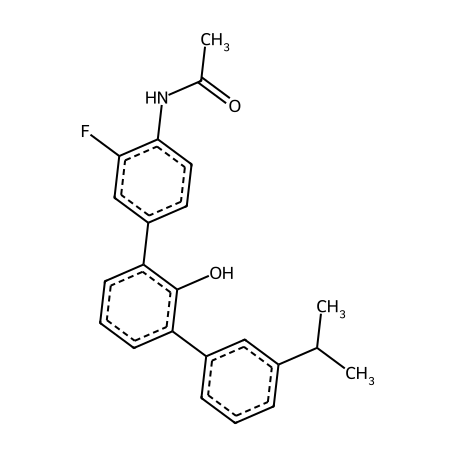 CC(=O)Nc1ccc(-c2cccc(-c3cccc(C(C)C)c3)c2O)cc1F